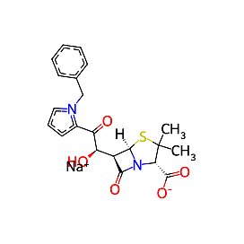 CC1(C)S[C@@H]2[C@H]([C@@H](O)C(=O)c3cccn3Cc3ccccc3)C(=O)N2[C@H]1C(=O)[O-].[Na+]